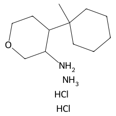 CC1(C2CCOCC2N)CCCCC1.Cl.Cl.N